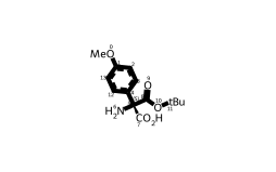 COc1ccc([C@](N)(C(=O)O)C(=O)OC(C)(C)C)cc1